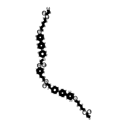 C=CC(=O)OCCCCCCOc1ccc(-c2ccc([C@H]3CC[C@H](CCC(=O)OCCCc4ccc(OC(=O)CC[C@H]5CC[C@H](c6ccc(-c7ccc(OCCCCCCOC(=O)C=C)cc7)cc6)CC5)cc4)CC3)cc2)cc1